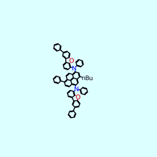 CCCCc1cc(N(c2ccccc2)c2cccc3c2oc2ccc(-c4ccccc4)cc23)c2ccc3c(-c4ccccc4)ccc4c(N(c5ccccc5)c5cccc6c5oc5ccc(-c7ccccc7)cc56)cc1c2c34